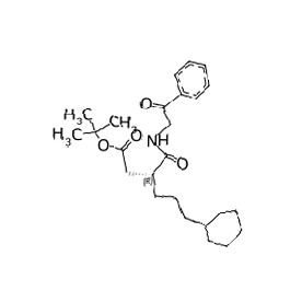 CC(C)(C)OC(=O)C[C@@H](CCCC1CCCCC1)C(=O)NCC(=O)c1ccccc1